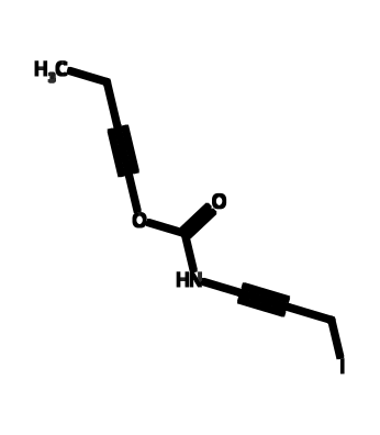 CCC#COC(=O)NC#CCI